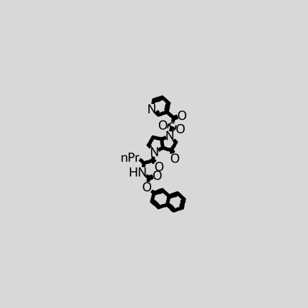 CCCC(NC(=O)Oc1ccc2ccccc2c1)C(=O)N1CCC2C1C(=O)CN2S(=O)(=O)C(=O)c1cccnc1